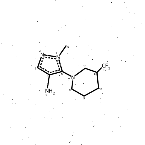 Cn1ncc(N)c1N1CCCC(C(F)(F)F)C1